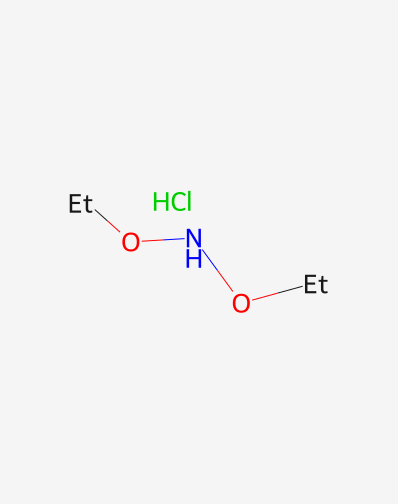 CCONOCC.Cl